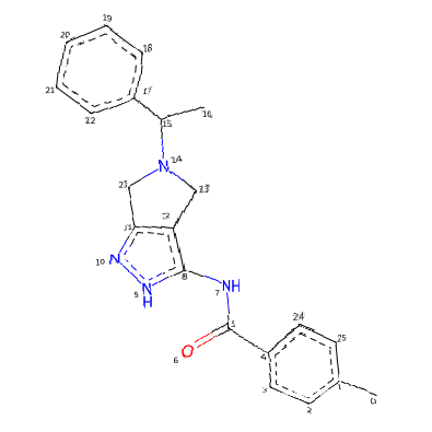 Cc1ccc(C(=O)Nc2[nH]nc3c2CN(C(C)c2ccccc2)C3)cc1